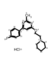 Cc1nc(OCCN2CCCCC2)cc(-c2ccc(F)cc2)n1.Cl